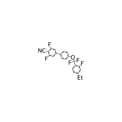 CCc1ccc(C(F)(F)Oc2ccc(-c3cc(F)c(C#N)c(F)c3)cc2)c(F)c1